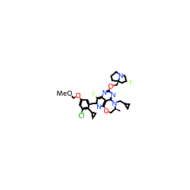 COCOc1cc(Cl)c(C2CC2)c(-c2nc3c4c(nc(OC[C@@]56CCCN5C[C@H](F)C6)nc4c2F)N(CC2CC2)[C@@H](C)CO3)c1